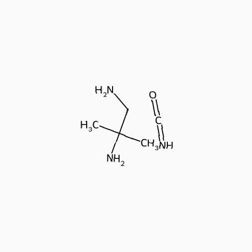 CC(C)(N)CN.N=C=O